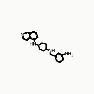 Nc1cccc(CNC2CCC(Nc3cccc4cnccc34)CC2)c1